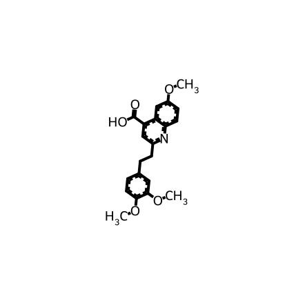 COc1ccc2nc(CCc3ccc(OC)c(OC)c3)cc(C(=O)O)c2c1